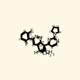 CC1(C)[C@H]2CCC1(c1ccnc(N3CCCC3)n1)c1nnc(-c3c(F)cccc3F)cc12